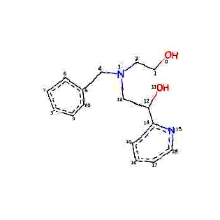 OCCN(Cc1ccccc1)CC(O)c1ccccn1